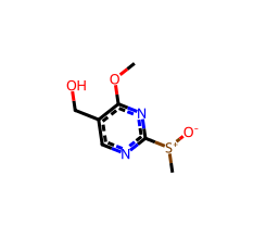 COc1nc([S+](C)[O-])ncc1CO